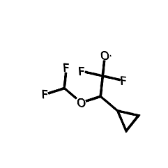 [O]C(F)(F)C(OC(F)F)C1CC1